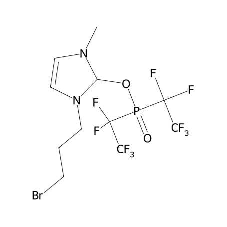 CN1C=CN(CCCBr)C1OP(=O)(C(F)(F)C(F)(F)F)C(F)(F)C(F)(F)F